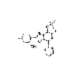 CC1CNCCN1c1nc2c(OC(F)(F)F)c(F)cc(-c3ccccn3)c2o1